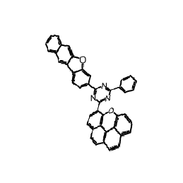 c1ccc(-c2nc(-c3ccc4c(c3)oc3cc5ccccc5cc34)nc(-c3ccc4ccc5ccc6cccc7c6c5c4c3O7)n2)cc1